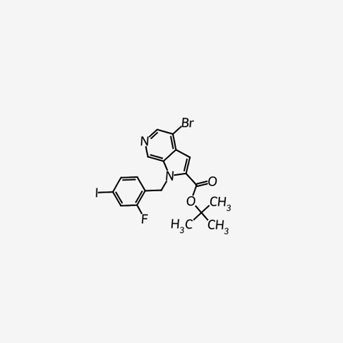 CC(C)(C)OC(=O)c1cc2c(Br)cncc2n1Cc1ccc(I)cc1F